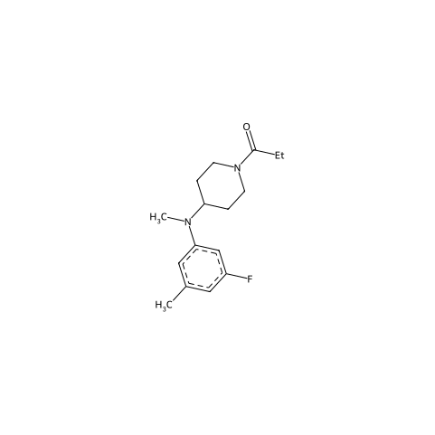 CCC(=O)N1CCC(N(C)c2cc(C)cc(F)c2)CC1